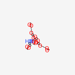 C=CC(=O)OCCCCCCOc1ccc(C(=O)Oc2c(/C=N/Nc3ccc4cc(OC(=O)C(=C)C)ccc4c3)c(OC(=O)C(=C)C)c(OC(=O)c3ccc(OCCCCCCOC(=O)C=C)cc3)c3ccccc23)cc1